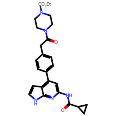 CCOC(=O)N1CCN(C(=O)Cc2ccc(-c3cc(NC(=O)C4CC4)nc4[nH]ccc34)cc2)CC1